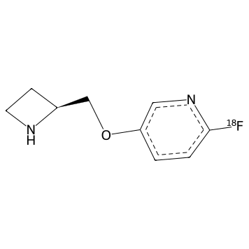 [18F]c1ccc(OC[C@@H]2CCN2)cn1